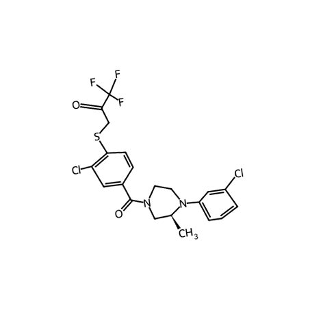 C[C@H]1CN(C(=O)c2ccc(SCC(=O)C(F)(F)F)c(Cl)c2)CCN1c1cccc(Cl)c1